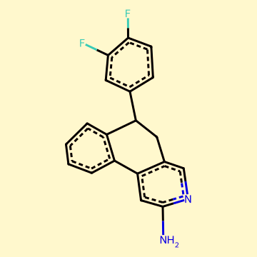 Nc1cc2c(cn1)CC(c1ccc(F)c(F)c1)c1ccccc1-2